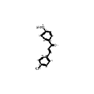 COc1ccc(C(=O)/C=C/c2ccc(Cl)cc2)cc1